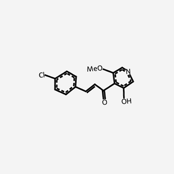 COc1cncc(O)c1C(=O)C=Cc1ccc(Cl)cc1